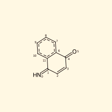 N=C1C=CC(=O)c2ccccc21